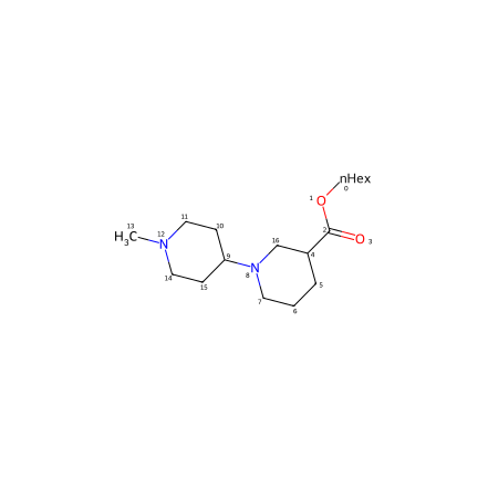 CCCCCCOC(=O)C1CCCN(C2CCN(C)CC2)C1